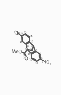 COC(=O)C12CC(c3cc([N+](=O)[O-])ccc31)c1ccc(Cl)cc12